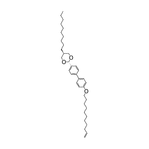 C=CCCCCCCCCCOc1ccc(-c2ccc([C@H]3OC[C@H](CCCCCCCCCC)CO3)cc2)cc1